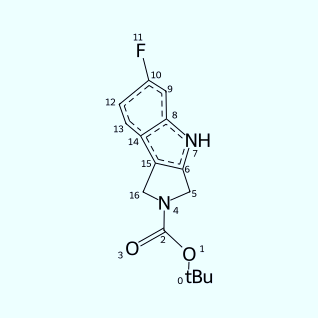 CC(C)(C)OC(=O)N1Cc2[nH]c3cc(F)ccc3c2C1